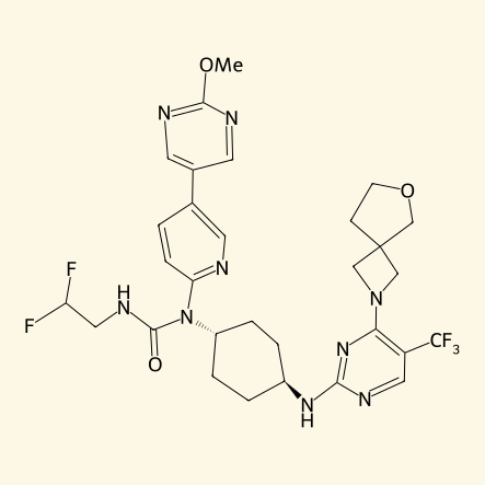 COc1ncc(-c2ccc(N(C(=O)NCC(F)F)[C@H]3CC[C@H](Nc4ncc(C(F)(F)F)c(N5CC6(CCOC6)C5)n4)CC3)nc2)cn1